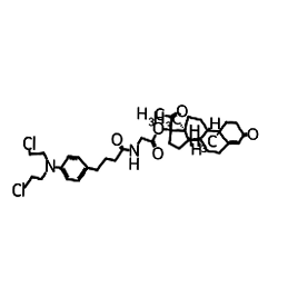 CC(=O)[C@@]1(OC(=O)CNC(=O)CCCc2ccc(N(CCCl)CCCl)cc2)CC[C@H]2[C@@H]3CCC4=CC(=O)CC[C@]4(C)[C@H]3CC[C@@]21C